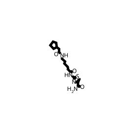 NC(=O)c1csc(NC(=O)[CH]CCCCNC(=O)CC2CCCC2)n1